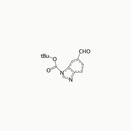 CC(C)(C)OC(=O)n1cnc2ccc(C=O)cc21